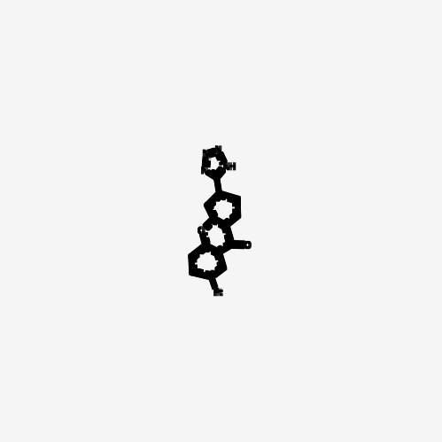 CCc1ccc2oc3cc(-c4nnn[nH]4)ccc3c(=O)c2c1